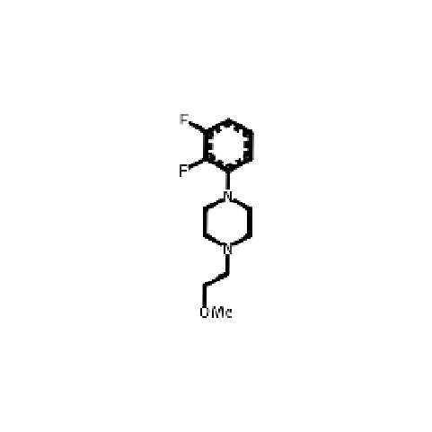 COCCN1CCN(c2cccc(F)c2F)CC1